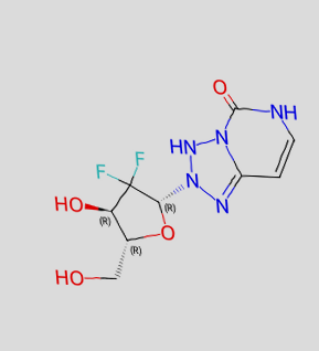 O=C1NC=CC2=NN([C@@H]3O[C@H](CO)[C@@H](O)C3(F)F)NN12